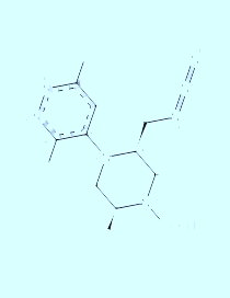 C[C@H]1CN(c2cc(Cl)nnc2Cl)[C@@H](CN=[N+]=[N-])CN1C(=O)O